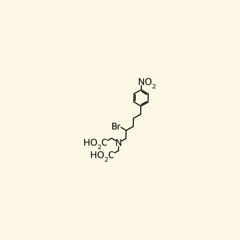 O=C(O)CN(CC(=O)O)CC(Br)CCCc1ccc([N+](=O)[O-])cc1